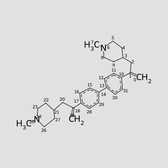 C=C(CC1CCN(C)CC1)c1ccc(-c2ccc(C(=C)CC3CCN(C)CC3)cc2)cc1